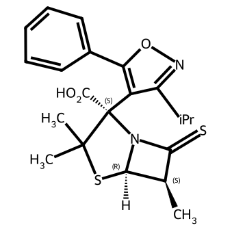 CC(C)c1noc(-c2ccccc2)c1[C@@]1(C(=O)O)N2C(=S)[C@@H](C)[C@H]2SC1(C)C